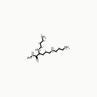 CC(C)NC(=O)C(CCCNCCCN)NCCCN